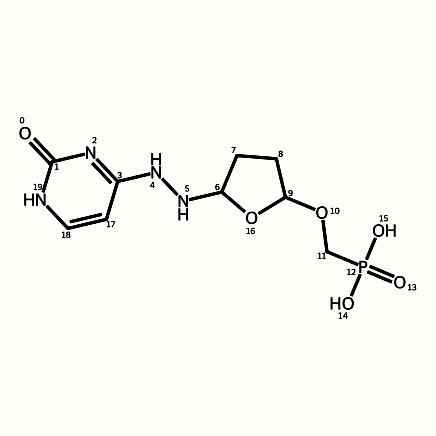 O=c1nc(NNC2CCC(OCP(=O)(O)O)O2)cc[nH]1